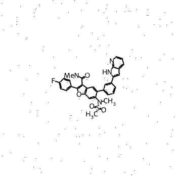 CNC(=O)c1c(-c2ccc(F)cc2)oc2cc(N(C)S(C)(=O)=O)c(-c3cccc(-c4cc5cccnc5[nH]4)c3)cc12